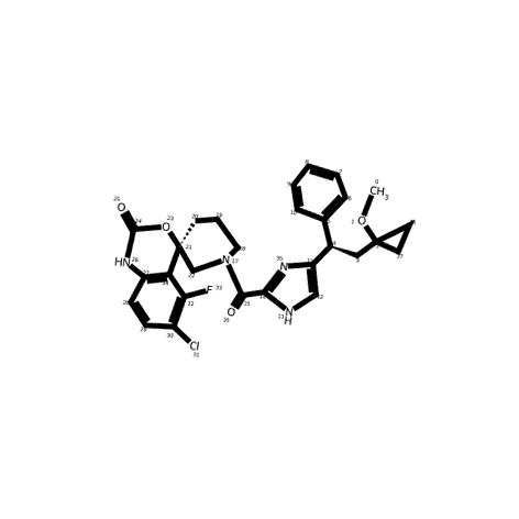 COC1(C[C@H](c2ccccc2)c2c[nH]c(C(=O)N3CCC[C@@]4(C3)OC(=O)Nc3ccc(Cl)c(F)c34)n2)CC1